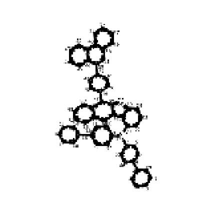 c1ccc(-c2ccc(N(c3ccc(-c4ccccc4)cc3)c3cccc4oc5c(-c6ccc(-c7cc8ccccc8c8ccccc78)cc6)c6ccccc6cc5c34)cc2)cc1